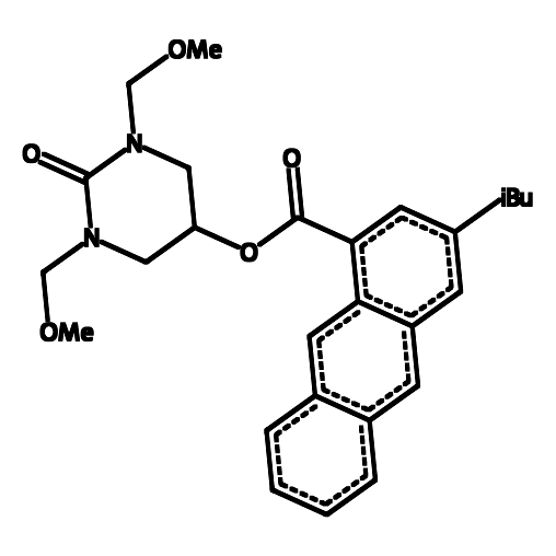 CCC(C)c1cc(C(=O)OC2CN(COC)C(=O)N(COC)C2)c2cc3ccccc3cc2c1